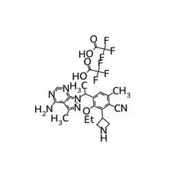 CCOc1c(C(C)n2nc(C)c3c(N)ncnc32)cc(C)c(C#N)c1C1CNC1.O=C(O)C(F)(F)F.O=C(O)C(F)(F)F